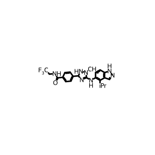 CC(C)c1c(NC2=NC(c3ccc(C(=O)NCC(F)(F)F)cc3)NN2C)ccc2[nH]ncc12